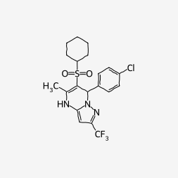 CC1=C(S(=O)(=O)C2CCCCC2)C(c2ccc(Cl)cc2)n2nc(C(F)(F)F)cc2N1